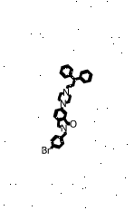 O=C1c2cc(N3CCN(CCC(c4ccccc4)c4ccccc4)CC3)ccc2CN1Cc1ccc(Br)cc1